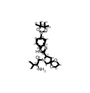 CC(C)[C@H](N)C(=O)N1CC2(CC1c1nc3cc(B4OC(C)(C)C(C)(C)O4)ccc3[nH]1)OCCO2